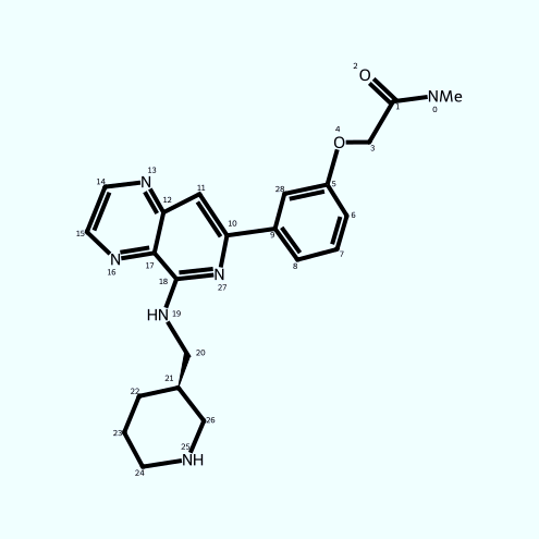 CNC(=O)COc1cccc(-c2cc3nccnc3c(NC[C@@H]3CCCNC3)n2)c1